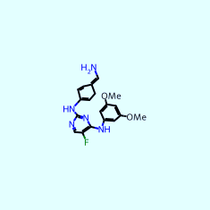 COc1cc(Nc2nc(NC3=CCC(=CN)C=C3)ncc2F)cc(OC)c1